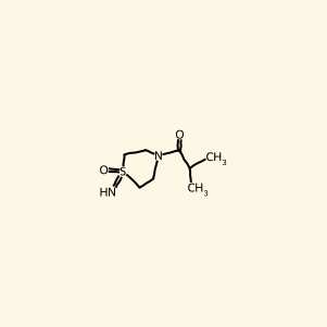 CC(C)C(=O)N1CCS(=N)(=O)CC1